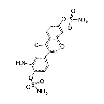 Nc1cc(-c2coc3cc(OS(N)(=O)=O)ccc3c2=O)ccc1OS(N)(=O)=O